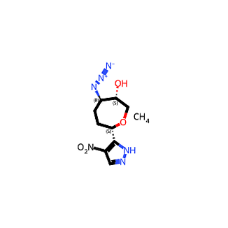 C.[N-]=[N+]=N[C@@H]1CC[C@@H](c2[nH]ncc2[N+](=O)[O-])OC[C@H]1O